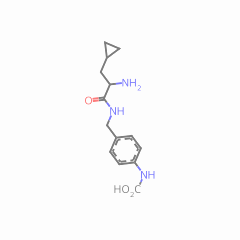 NC(CC1CC1)C(=O)NCc1ccc(NC(=O)O)cc1